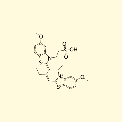 CCC(=Cc1sc2ccc(OC)cc2[n+]1CC)C=C1Sc2ccc(OC)cc2N1CCS(=O)(=O)O